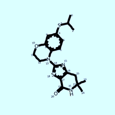 CC(C)Sc1ccc2c(c1)OCCN2c1nc2c(s1)C(=O)NC(C)(C)C2